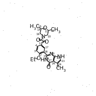 CCOc1ccc(S(=O)(=O)N2CC(C)OC(C)C2)cc1-c1nc2[nH]cc(C)c2c(=O)[nH]1